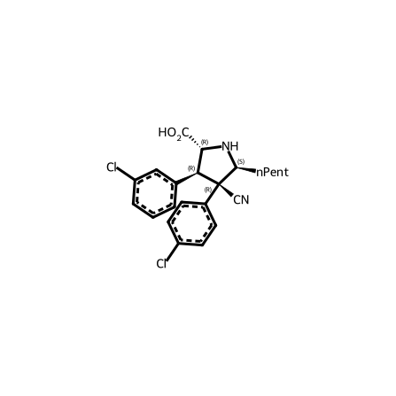 CCCCC[C@@H]1N[C@@H](C(=O)O)[C@H](c2cccc(Cl)c2)[C@@]1(C#N)c1ccc(Cl)cc1